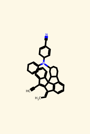 C#CC1=C2/C(=C\C)c3cccc4c3C2(c2ccccc21)C1CC(N(C2=CCCC=C2)C2C=CC(C#N)=CC2)CCCC41